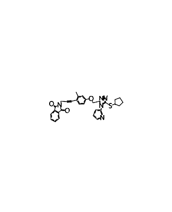 Cc1cc(OCc2nnc(SC3CCCC3)n2-c2cccnc2)ccc1C#CCN1C(=O)c2ccccc2C1=O